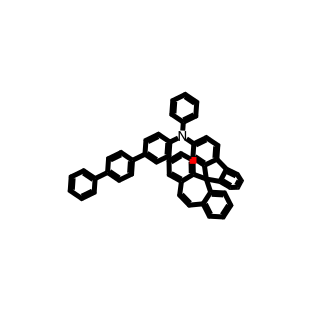 C1=Cc2ccccc2C2(c3ccccc31)c1ccccc1-c1ccc(N(c3ccccc3)c3ccc(-c4ccc(-c5ccccc5)cc4)cc3)cc12